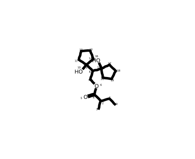 CCC(C)C(=O)OCC(C1(O)CCCC1)C1(O)CCCC1